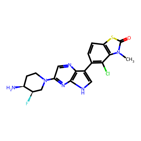 Cn1c(=O)sc2ccc(-c3c[nH]c4nc(N5CC[C@H](N)[C@H](F)C5)cnc34)c(Cl)c21